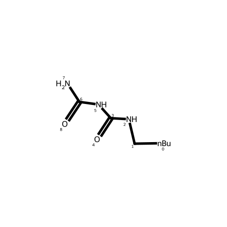 CCCCCNC(=O)NC(N)=O